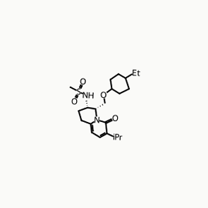 CCC1CCC(OC[C@H]2[C@@H](NS(C)(=O)=O)CCc3ccc(C(C)C)c(=O)n32)CC1